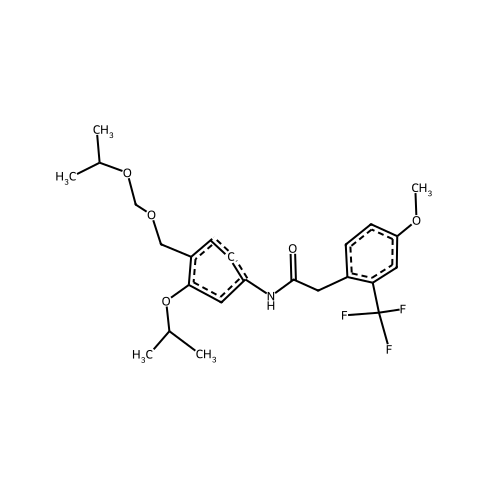 COc1ccc(CC(=O)Nc2ccc(COCOC(C)C)c(OC(C)C)c2)c(C(F)(F)F)c1